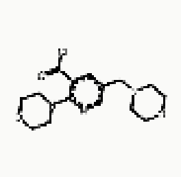 O=C(O)c1cc(CN2CCOCC2)cnc1N1CCOCC1